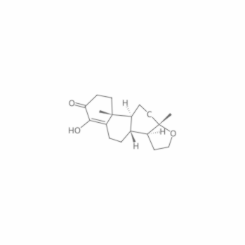 C[C@]12CCC(=O)C(O)=C1CC[C@@H]1[C@@H]2CC[C@]2(C)OCC[C@@H]12